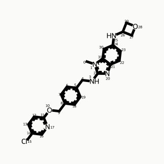 Cn1c(NCc2ccc(COc3ccc(Cl)cn3)cc2)nc2ccc(NC3COC3)cc21